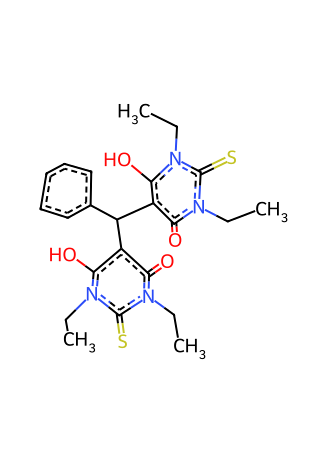 CCn1c(O)c(C(c2ccccc2)c2c(O)n(CC)c(=S)n(CC)c2=O)c(=O)n(CC)c1=S